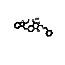 CCc1oc2ccccc2c1CN1CCN2C(=O)C(CSCc3ccccc3)NC(=O)C2C1.Cl